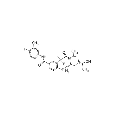 Cc1cc(NC(=O)c2ccc(F)c(C(F)(F)C(=O)N3[C@H](C)CN(C(C)O)C[C@@H]3C)c2)ccc1F